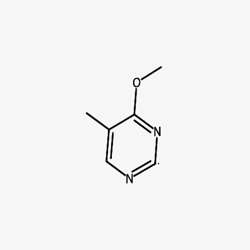 COc1n[c]ncc1C